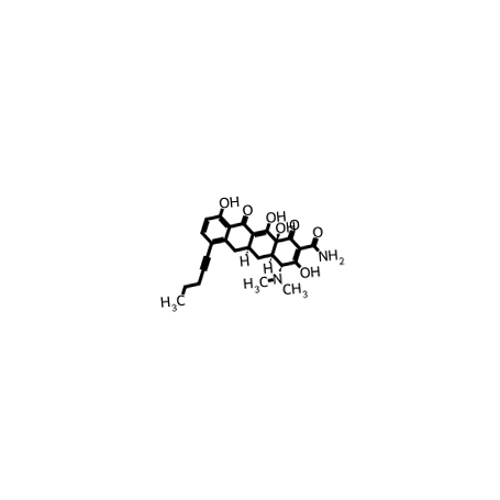 CCCC#Cc1ccc(O)c2c1C[C@@H]1C[C@@H]3[C@@H](N(C)C)C(O)=C(C(N)=O)C(=O)[C@@]3(O)C(O)=C1C2=O